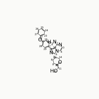 Nc1nccn2c([C@H]3CC[C@H](CO)OC3)nc(-c3ccc(Oc4ccccc4)cc3)c12